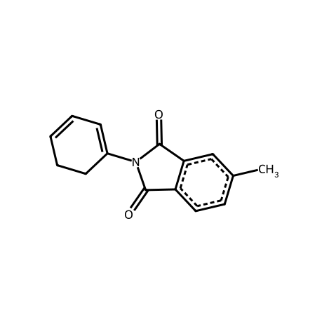 Cc1ccc2c(c1)C(=O)N(C1=CC=CCC1)C2=O